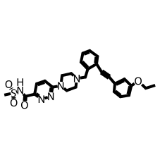 CCOc1cccc(C#Cc2ccccc2CN2CCN(c3ccc(C(=O)NS(C)(=O)=O)nn3)CC2)c1